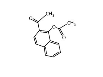 CC(=O)Oc1c(C(C)=O)ccc2ccccc12